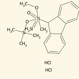 C[O][Ti]([CH3])(=[O])(=[SiH2])([O][Si](C)(C)C)[CH]1c2ccccc2-c2ccccc21.Cl.Cl